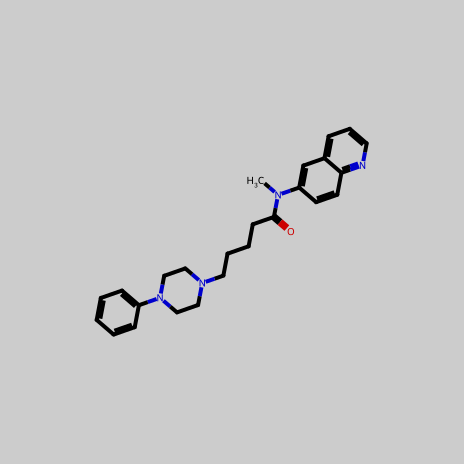 CN(C(=O)CCCCN1CCN(c2ccccc2)CC1)c1ccc2ncccc2c1